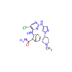 CN1CCC(n2cc(Nc3ncc(Cl)c(NC4C5C=CC(C5)C4C(N)=O)n3)cn2)CC1